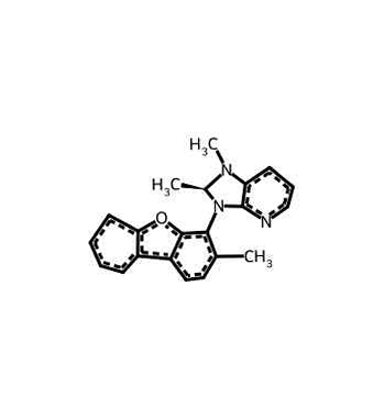 Cc1ccc2c(oc3ccccc32)c1N1c2ncccc2N(C)[C@@H]1C